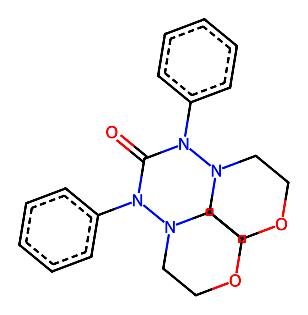 O=C(N(c1ccccc1)N1CCOCC1)N(c1ccccc1)N1CCOCC1